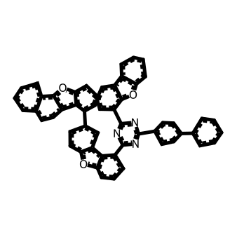 c1ccc(-c2ccc(-c3nc(-c4cccc5c4oc4ccccc45)nc(-c4cccc5oc6ccc(-c7cccc8oc9c%10ccccc%10ccc9c78)cc6c45)n3)cc2)cc1